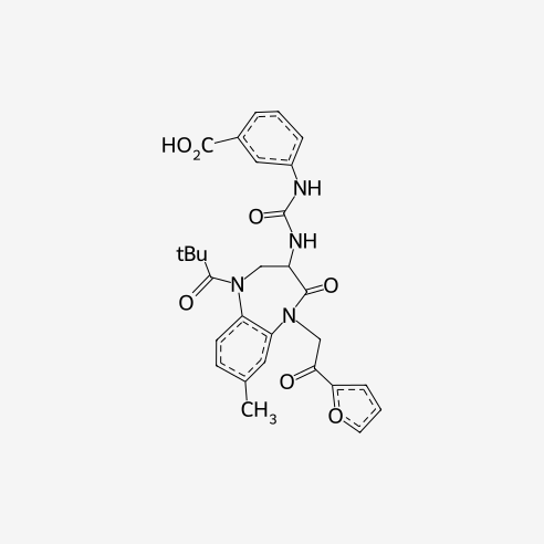 Cc1ccc2c(c1)N(CC(=O)c1ccco1)C(=O)C(NC(=O)Nc1cccc(C(=O)O)c1)CN2C(=O)C(C)(C)C